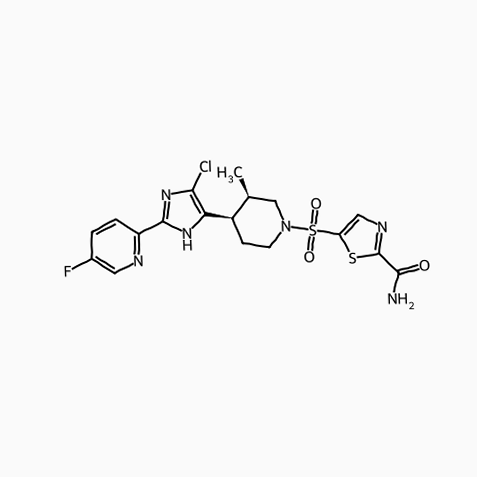 C[C@H]1CN(S(=O)(=O)c2cnc(C(N)=O)s2)CC[C@H]1c1[nH]c(-c2ccc(F)cn2)nc1Cl